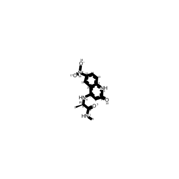 CNC(=O)[C@@H](C)Nc1cc(=O)[nH]c2ccc([N+](=O)[O-])cc12